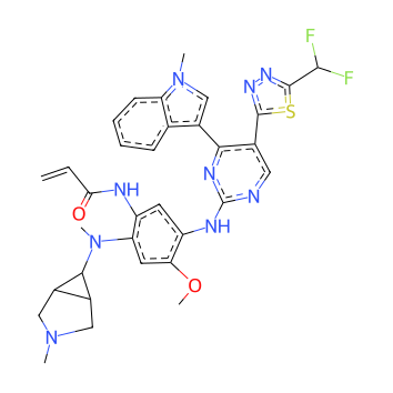 C=CC(=O)Nc1cc(Nc2ncc(-c3nnc(C(F)F)s3)c(-c3cn(C)c4ccccc34)n2)c(OC)cc1N(C)C1C2CN(C)CC21